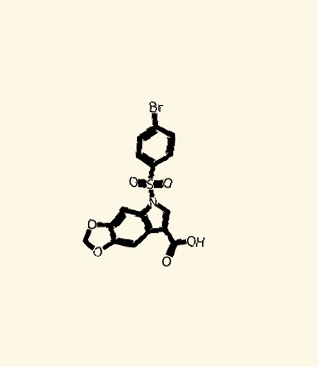 O=C(O)c1cn(S(=O)(=O)c2ccc(Br)cc2)c2cc3c(cc12)OCO3